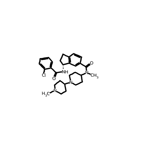 CN1CCC(N2CCC(N(C)C(=O)c3ccc4c(c3)[C@H](NC(=O)c3ccccc3Cl)CC4)CC2)CC1